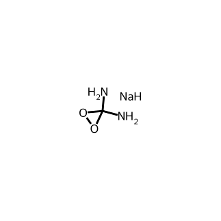 NC1(N)OO1.[NaH]